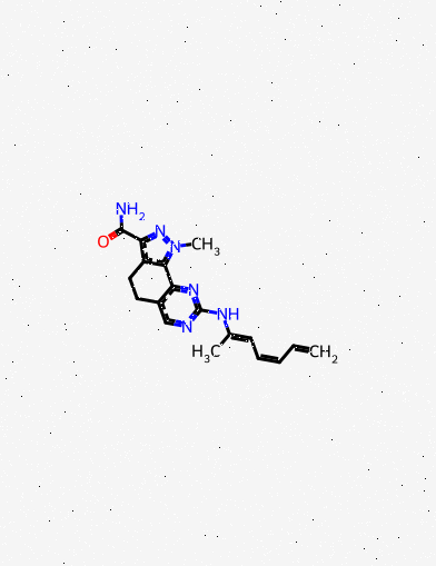 C=C/C=C\C=C(/C)Nc1ncc2c(n1)-c1c(c(C(N)=O)nn1C)CC2